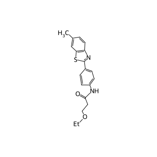 CCOCCC(=O)Nc1ccc(-c2nc3ccc(C)cc3s2)cc1